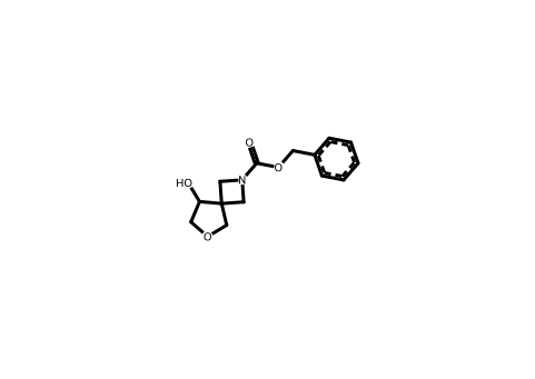 O=C(OCc1ccccc1)N1CC2(COCC2O)C1